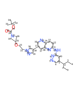 CCC(CC)c1cnnc(Nc2ccc3ncc(-c4cnn(CCOC5CN(C(=O)OC(C)(C)C)C5)c4)cc3n2)c1